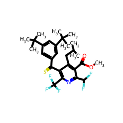 COC(=O)c1c(C(F)F)nc(C(F)(F)F)c(C(=S)c2cc(C(C)(C)C)cc(C(C)(C)C)c2)c1CC(C)C